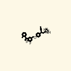 CC#CC(Cc1nnn[nH]1)c1ccc(OCc2cc(F)c3scc(-c4ccccc4C)c3c2)cc1